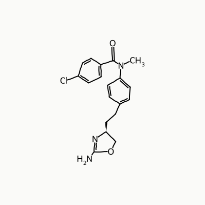 CN(C(=O)c1ccc(Cl)cc1)c1ccc(CC[C@H]2COC(N)=N2)cc1